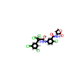 O=C(NC1CCOC1=O)c1cc(NC(=O)C2C(c3cc(Cl)cc(Cl)c3)C2(Cl)Cl)ccc1Cl